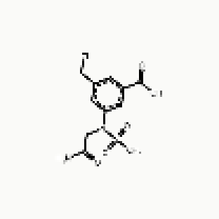 CS(=O)(=O)N(CC(N)=O)c1cc(CCl)cc(C(=O)O)c1